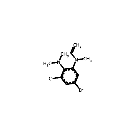 C=CN(C)c1cc(Br)cc(Cl)c1N(C)C